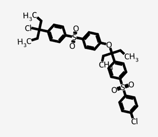 CCC(Cl)(CC)c1ccc(S(=O)(=O)c2ccc(OC(CC)(CC)c3ccc(S(=O)(=O)c4ccc(Cl)cc4)cc3)cc2)cc1